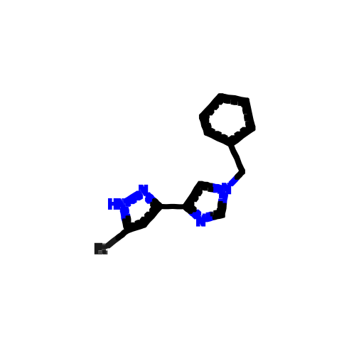 [CH2]Cc1cc(-c2cn(Cc3ccccc3)cn2)n[nH]1